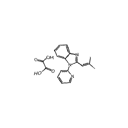 CC(C)=Cc1nc2ccccc2n1-c1ccccn1.O=C(O)C(=O)O